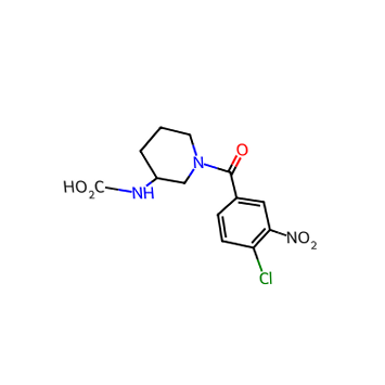 O=C(O)NC1CCCN(C(=O)c2ccc(Cl)c([N+](=O)[O-])c2)C1